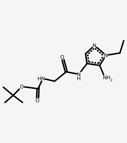 CCn1ncc(NC(=O)CNC(=O)OC(C)(C)C)c1N